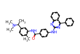 Cc1ccc(C(C)N(C)C)cc1NC(=O)c1ccc(Nc2nc(-c3ccccc3)c3ccccc3n2)cc1